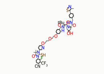 Cc1ncsc1-c1ccc(CNC(=O)[C@@H]2C[C@@H](O)CN2C(=O)[C@@H](NC(=O)c2ccc(OCCOCCCOc3ccc(N4C(S)N(c5ccc(C#N)c(C(F)(F)F)c5F)C(=O)C4(C)C)cn3)cc2)C(C)(C)C)cc1